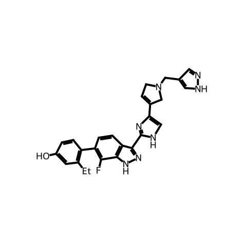 CCc1cc(O)ccc1-c1ccc2c(-c3nc(C4=CCN(Cc5cn[nH]c5)C4)c[nH]3)n[nH]c2c1F